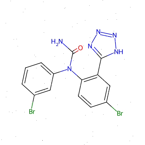 NC(=O)N(c1cccc(Br)c1)c1ccc(Br)cc1-c1nnn[nH]1